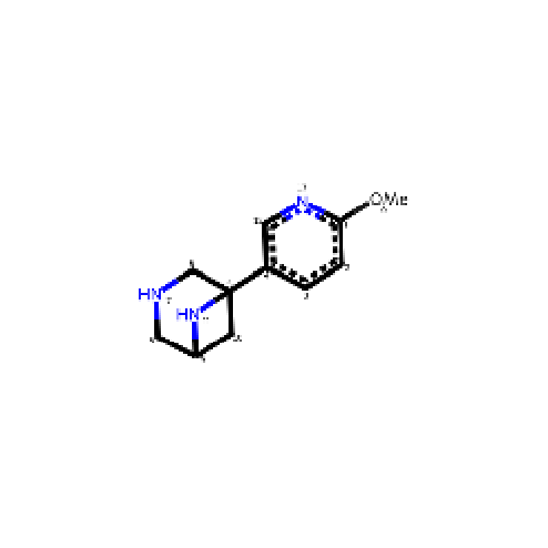 COc1ccc(C23CNCC(C2)N3)cn1